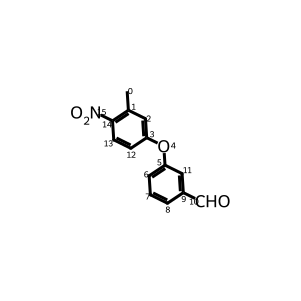 Cc1cc(Oc2cccc(C=O)c2)ccc1[N+](=O)[O-]